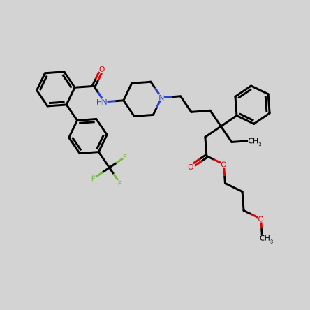 CCC(CCCN1CCC(NC(=O)c2ccccc2-c2ccc(C(F)(F)F)cc2)CC1)(CC(=O)OCCCOC)c1ccccc1